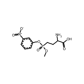 COP(=O)(CCC(N)C(=O)O)Oc1cccc([N+](=O)[O-])c1